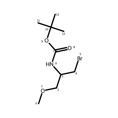 COCC(CBr)NC(=O)OC(C)(C)C